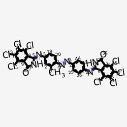 Cc1cc(/N=C2\NC(=O)c3c(Cl)c(Cl)c(Cl)c(Cl)c32)ccc1/N=N/c1ccc(/N=C2\NC(=O)c3c(Cl)c(Cl)c(Cl)c(Cl)c32)cc1